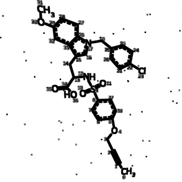 CC#CCOc1ccc(S(=O)(=O)NC(Cc2cn(Cc3ccc(Cl)cc3)c3ccc(OC)cc23)C(=O)O)cc1